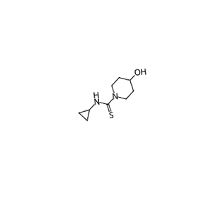 OC1CCN(C(=S)NC2CC2)CC1